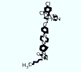 CC/C=C/CCn1ncn(-c2ccc(N3CCN(c4ccc(OC[C@@H]5CO[C@@](Cn6cncn6)(c6ccc(Cl)cc6Cl)O5)cc4)CC3)cc2)c1=O